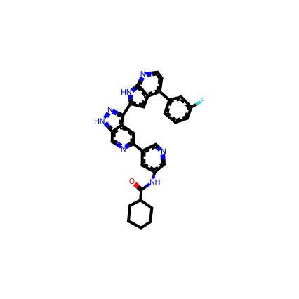 O=C(Nc1cncc(-c2cc3c(-c4cc5c(-c6cccc(F)c6)ccnc5[nH]4)n[nH]c3cn2)c1)C1CCCCC1